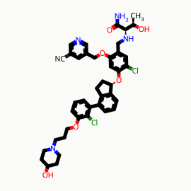 C[C@@H](O)[C@H](NCc1cc(Cl)c(O[C@H]2CCc3c(-c4cccc(OCCCN5CCC(O)CC5)c4Cl)cccc32)cc1OCc1cncc(C#N)c1)C(N)=O